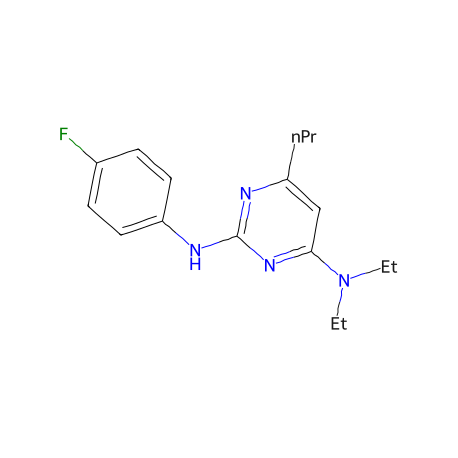 CCCc1cc(N(CC)CC)nc(Nc2ccc(F)cc2)n1